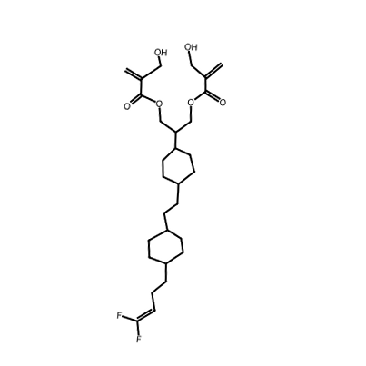 C=C(CO)C(=O)OCC(COC(=O)C(=C)CO)C1CCC(CCC2CCC(CCC=C(F)F)CC2)CC1